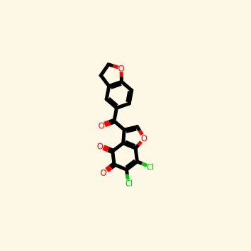 O=C1C(=O)c2c(C(=O)c3ccc4c(c3)CCO4)coc2C(Cl)=C1Cl